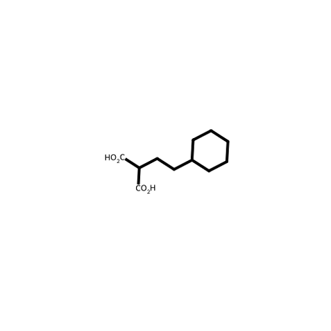 O=C(O)C(CCC1CCCCC1)C(=O)O